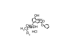 CC(C)(C)NCC(O)c1ccc(O)c2[nH]c(C(=O)Oc3ccccc3)cc12.Cl